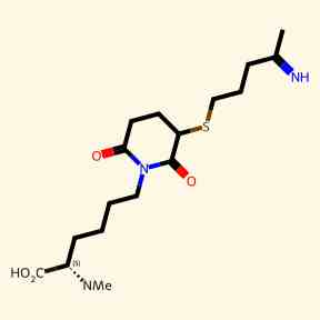 CN[C@@H](CCCCN1C(=O)CCC(SCCCC(C)=N)C1=O)C(=O)O